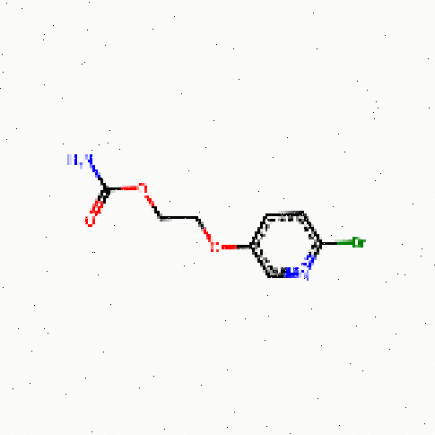 NC(=O)OCCOc1ccc(Br)nc1